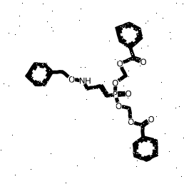 O=C(OCOP(=O)(/C=C/CNOCc1ccccc1)OCOC(=O)c1ccccc1)c1ccccc1